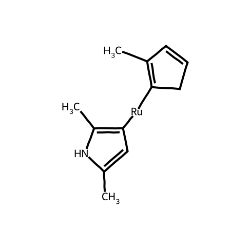 CC1=[C]([Ru][c]2cc(C)[nH]c2C)CC=C1